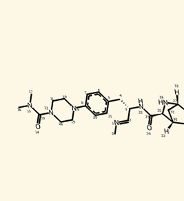 C/N=C/[C@H](Cc1ccc(N2CCN(C(=O)N(C)C)CC2)cc1)NC(=O)[C@H]1N[C@@H]2CC[C@H]1C2